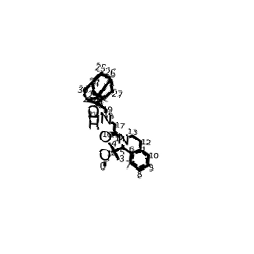 COC(C)(C)C1c2ccccc2CCN1C(=O)CNCC1(O)C2CC3CC(C2)CC1C3